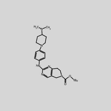 CN(C)C1CCN(c2ccc(Nc3ncc4c(n3)CCN(C(=O)OC(C)(C)C)C4)cc2)CC1